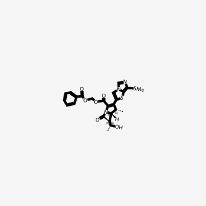 CSc1ncn2cc(C3=C(C(=O)OCOC(=O)c4ccccc4)N4C(=O)[C@H]([C@@H](C)O)[C@H]4[C@H]3C)sc12